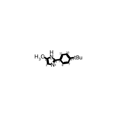 Cc1cnc(-c2ccc(C(C)(C)C)cc2)[nH]1